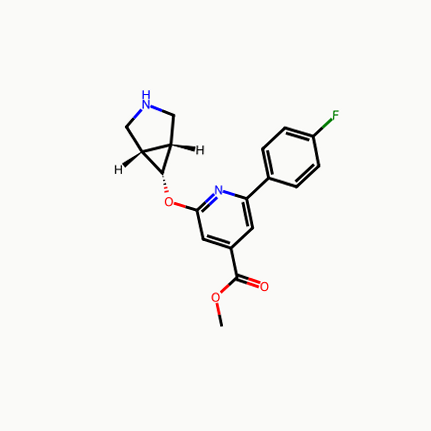 COC(=O)c1cc(O[C@@H]2[C@@H]3CNC[C@@H]32)nc(-c2ccc(F)cc2)c1